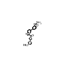 Nc1nc2cc(-c3ccc4ncc(C(=O)N5CC(N6CC[C@@H](O)C6)C5)n4c3)ccc2o1